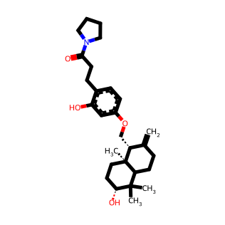 C=C1CCC2C(C)(C)[C@H](O)CC[C@@]2(C)[C@@H]1COc1ccc(CCC(=O)N2CCCC2)c(O)c1